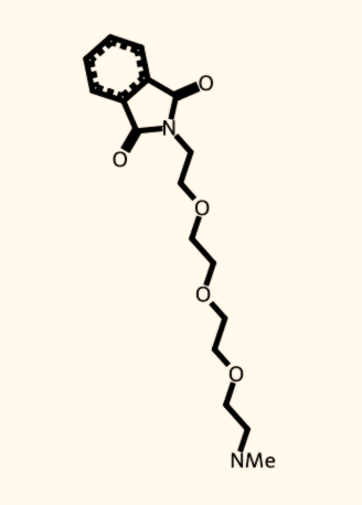 CNCCOCCOCCOCCN1C(=O)c2ccccc2C1=O